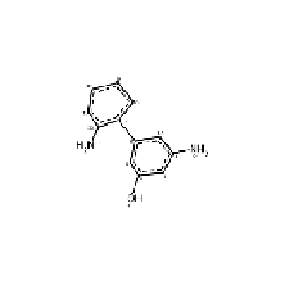 Nc1cc(O)cc(-c2ccccc2N)c1